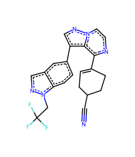 N#CC1CC=C(c2nccn3ncc(-c4ccc5c(cnn5CC(F)(F)F)c4)c23)CC1